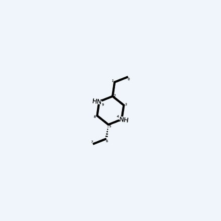 CCC1CN[C@H](CC)CN1